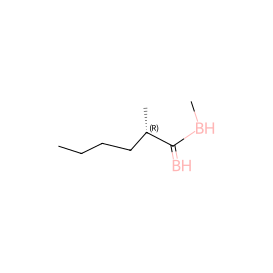 B=C(BC)[C@@H](C)CCCC